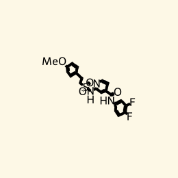 COc1ccc(CCS(=O)(=O)Nc2cc(C(=O)Nc3ccc(F)c(F)c3)ccn2)cc1